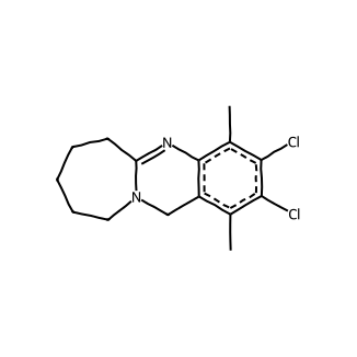 Cc1c(Cl)c(Cl)c(C)c2c1CN1CCCCCC1=N2